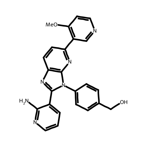 COc1ccncc1-c1ccc2nc(-c3cccnc3N)n(-c3ccc(CO)cc3)c2n1